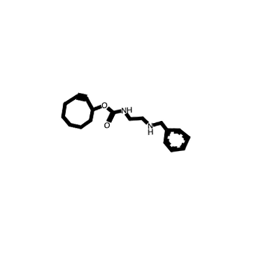 O=C(NCCNCc1ccccc1)OC1C#CCCCCC1